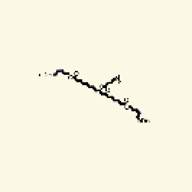 CCCCCCCCCCC/C=C\CCOC(=O)CCCCCCCC(CCCCCCCC(=O)OCC/C=C\CCCCCCCCCCC)OC(=O)CCCN(C)C